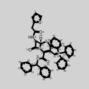 O=C(Cc1cccs1)N[C@@H]1C(=O)N2C(C(=O)OC(c3ccccc3)c3ccccc3)=C(C=P(c3ccccc3)(c3ccccc3)c3ccccc3)CS[C@@H]12